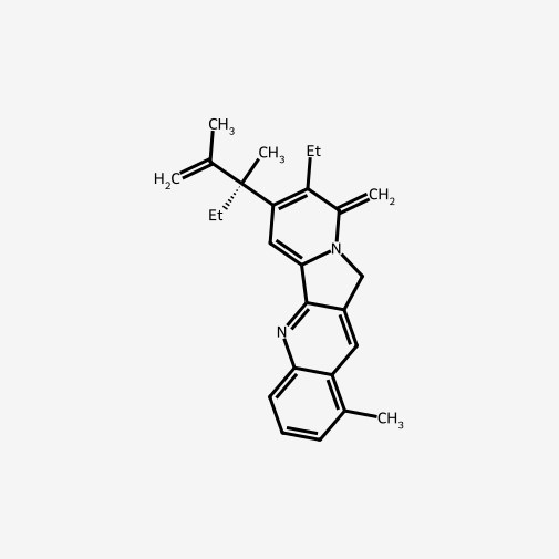 C=C1C(CC)=C([C@@](C)(CC)C(=C)C)C=C2c3nc4cccc(C)c4cc3CN12